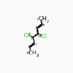 CC=CC(Cl)C(Cl)/C=C/C